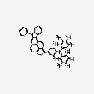 [2H]c1c([2H])c([2H])c(N(c2ccc(-c3ccc4ccc5cc6c(c7ccc3c4c57)c3ccccc3n6-c3ccccc3)cc2)c2c([2H])c([2H])c([2H])c([2H])c2[2H])c([2H])c1[2H]